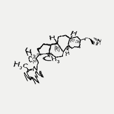 CCC[C@H]1CC[C@@H]2C3CC[C@@]4(C)C(CC[C@@H]4[C@@H](C)Cn4nnnc4C)[C@@H]3CC[C@@H]2C1